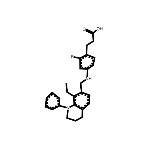 CCc1c(CNc2ccc(CCC(=O)O)c(F)c2)ccc2c1N(c1ccccc1)CCC2